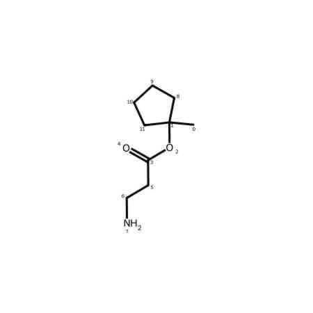 CC1(OC(=O)CCN)CCCC1